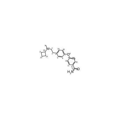 CN(CCc1ccc(Oc2ccc(C(N)=O)cn2)cc1)C1CCC1